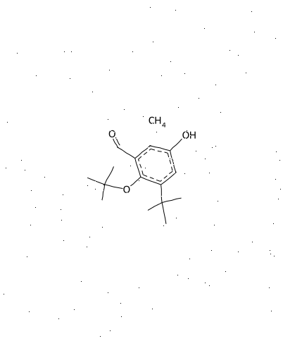 C.CC(C)(C)Oc1c(C=O)cc(O)cc1C(C)(C)C